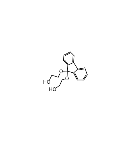 OCCOC1(OCCO)c2ccccc2-c2ccccc21